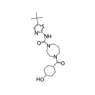 CC(C)(C)c1cnc(NC(=O)N2CCCN(C(=O)C3CCC(O)CC3)CC2)s1